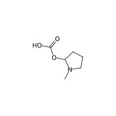 CN1CCCC1OC(=O)O